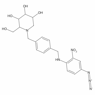 [N-]=[N+]=Nc1ccc(NCc2ccc(CN3CC(O)C(O)C(O)C3CO)cc2)c([N+](=O)[O-])c1